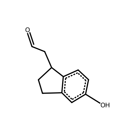 O=CCC1CCc2cc(O)ccc21